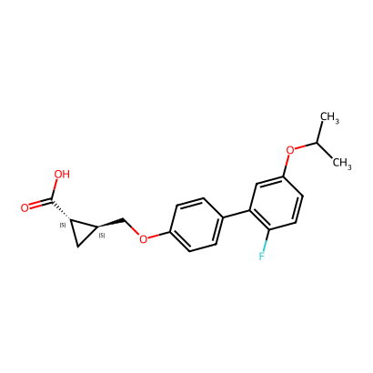 CC(C)Oc1ccc(F)c(-c2ccc(OC[C@H]3C[C@@H]3C(=O)O)cc2)c1